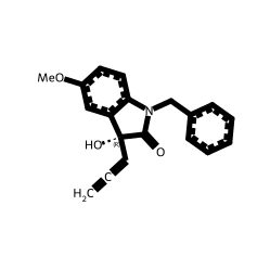 C=C=C[C@]1(O)C(=O)N(Cc2ccccc2)c2ccc(OC)cc21